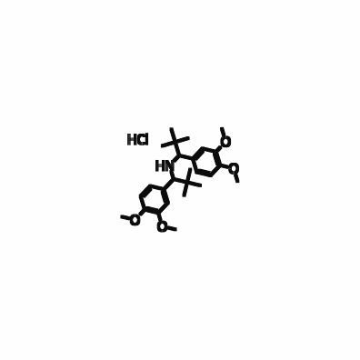 COc1ccc(C(NC(c2ccc(OC)c(OC)c2)C(C)(C)C)C(C)(C)C)cc1OC.Cl